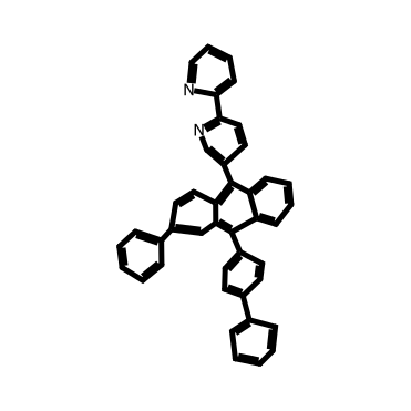 c1ccc(-c2ccc(-c3c4ccccc4c(-c4ccc(-c5ccccn5)nc4)c4ccc(-c5ccccc5)cc34)cc2)cc1